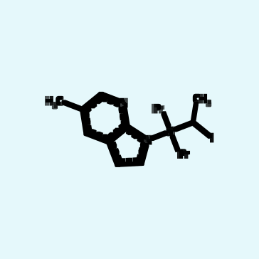 Cc1cnc2c(ccn2[Si](C(C)C)(C(C)C)C(C)I)c1